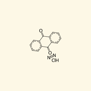 Cl.N#N.O=C1c2ccccc2C(=O)c2ccccc21